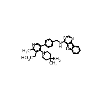 BC1(C)CCN(c2c(-c3ccc(CNc4ncnc5c4oc4ccccc45)cc3)cnc(C)c2CC(=O)O)CC1